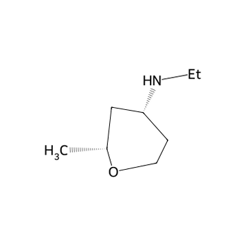 CCN[C@@H]1CCO[C@H](C)C1